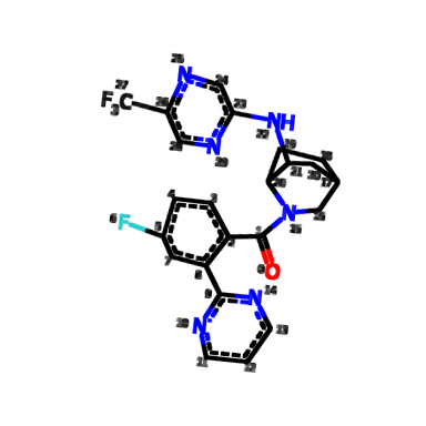 O=C(c1ccc(F)cc1-c1ncccn1)N1CC2CCC1C(Nc1cnc(C(F)(F)F)cn1)C2